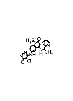 CC(Nc1cc(=O)n(C)c2ccc(Nc3ncnc(Cl)c3Cl)cc12)c1ncccn1